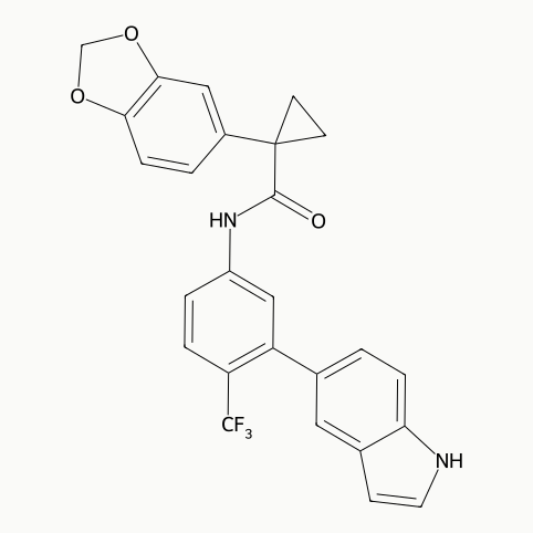 O=C(Nc1ccc(C(F)(F)F)c(-c2ccc3[nH]ccc3c2)c1)C1(c2ccc3c(c2)OCO3)CC1